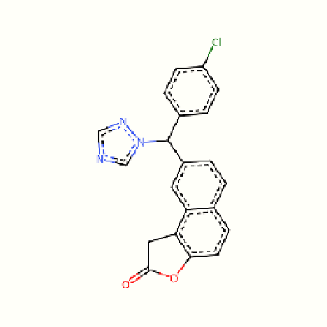 O=C1Cc2c(ccc3ccc(C(c4ccc(Cl)cc4)n4cncn4)cc23)O1